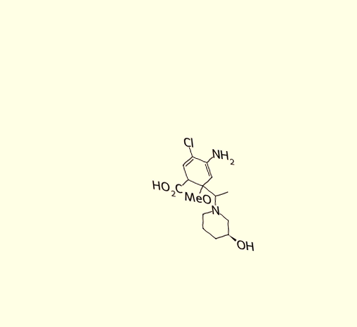 COC1(C(C)N2CCC[C@H](O)C2)C=C(N)C(Cl)=CC1C(=O)O